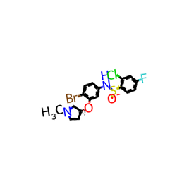 CN1CC[C@@H](Oc2cc(N[S+]([O-])c3ccc(F)cc3Cl)ccc2Br)C1